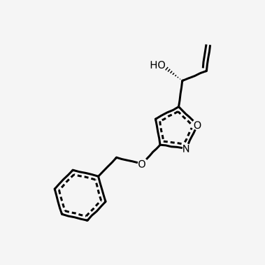 C=C[C@@H](O)c1cc(OCc2ccccc2)no1